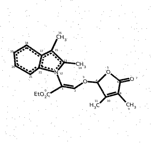 CCOC(=O)/C(=C/OC1OC(=O)C(C)=C1C)n1c(C)c(C)c2ccccc21